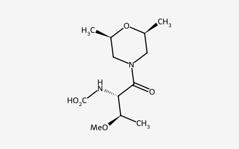 CO[C@H](C)[C@H](NC(=O)O)C(=O)N1C[C@@H](C)O[C@@H](C)C1